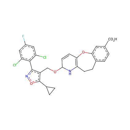 O=C(O)c1ccc2c(c1)OC1=C(CC2)NC(OCc2c(-c3c(Cl)cc(F)cc3Cl)noc2C2CC2)C=C1